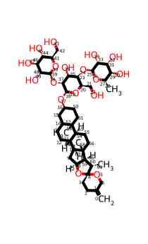 C=C1CC[C@@]2(OC1)O[C@H]1C[C@H]3[C@@H]4CCC5C[C@@H](O[C@@H]6O[C@H](CO)[C@@H](O[C@@H]7O[C@@H](C)[C@H](O)[C@@H](O)[C@H]7O)[C@H](O)[C@H]6O[C@@H]6O[C@H](CO)[C@@H](O)[C@H](O)[C@H]6O)CC[C@]5(C)[C@H]4CC[C@]3(C)[C@H]1[C@@H]2C